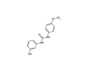 O=C(Nc1ccc(OC(F)(F)F)cc1)Nc1cccc(O)c1